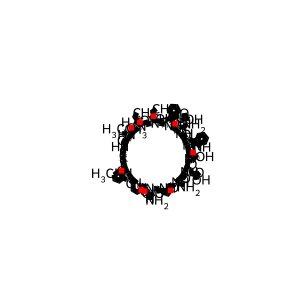 CCCC[C@H]1C(=O)N(C)[C@@H](CCCC)C(=O)N[C@@H](CC(C)C)C(=O)NCCCCC(=O)N[C@@H](Cc2ccc(C)cc2)C(=O)N2CCCC[C@H]2C(=O)N[C@@H](CC(N)=O)C(=O)N2CCC[C@H]2C(=O)N[C@@H](CN)C(=O)N[C@@H](CCC(=O)O)C(=O)N2C[C@H](O)C[C@H]2C(=O)N[C@@H](Cc2c[nH]c3ccccc23)C(=O)N[C@@H](CCN)C(=O)N[C@@H](Cc2cn(CC(=O)O)c3ccccc23)C(=O)N1C